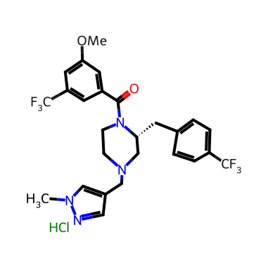 COc1cc(C(=O)N2CCN(Cc3cnn(C)c3)C[C@H]2Cc2ccc(C(F)(F)F)cc2)cc(C(F)(F)F)c1.Cl